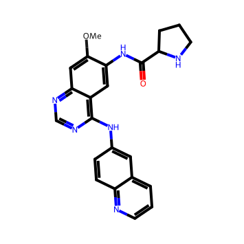 COc1cc2ncnc(Nc3ccc4ncccc4c3)c2cc1NC(=O)C1CCCN1